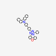 c1ccc(-c2nc(-c3ccc(-c4ccc(-n5c6cc7ccccc7cc6c6c7ccccc7ccc65)cc4)cc3)nc(-c3cccc4oc5ccccc5c34)n2)cc1